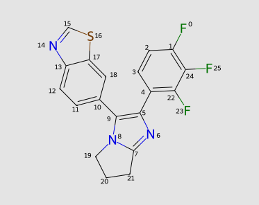 Fc1ccc(-c2nc3n(c2-c2ccc4ncsc4c2)CCC3)c(F)c1F